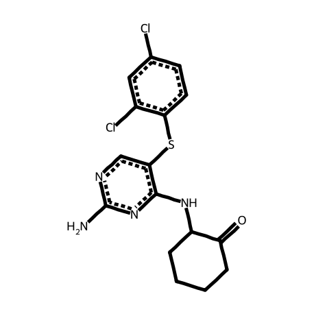 Nc1ncc(Sc2ccc(Cl)cc2Cl)c(NC2CCCCC2=O)n1